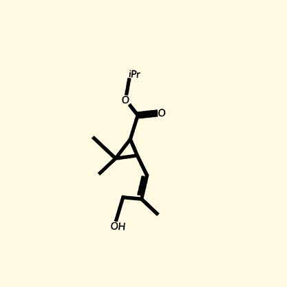 CC(=CC1C(C(=O)OC(C)C)C1(C)C)CO